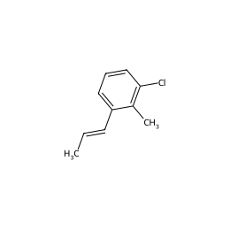 CC=Cc1cccc(Cl)c1C